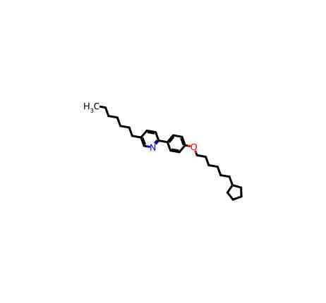 CCCCCCCc1ccc(-c2ccc(OCCCCCCC3CCCC3)cc2)nc1